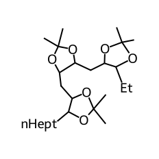 [CH2]CCCCCCC1OC(C)(C)OC1CC1OC(C)(C)OC1CC1OC(C)(C)OC1CC